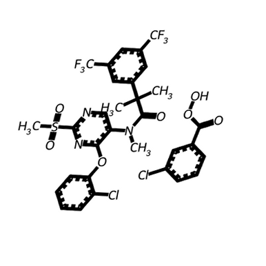 CN(C(=O)C(C)(C)c1cc(C(F)(F)F)cc(C(F)(F)F)c1)c1cnc(S(C)(=O)=O)nc1Oc1ccccc1Cl.O=C(OO)c1cccc(Cl)c1